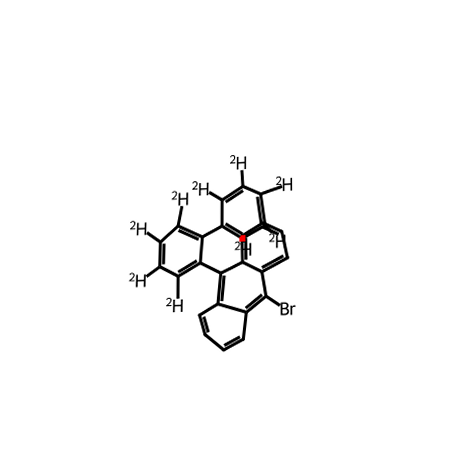 [2H]c1c([2H])c([2H])c(-c2c([2H])c([2H])c([2H])c([2H])c2-c2c3ccccc3c(Br)c3ccccc23)c([2H])c1[2H]